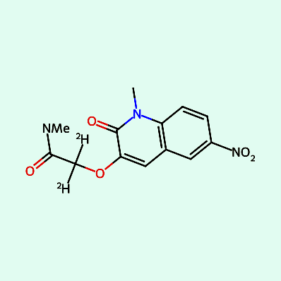 [2H]C([2H])(Oc1cc2cc([N+](=O)[O-])ccc2n(C)c1=O)C(=O)NC